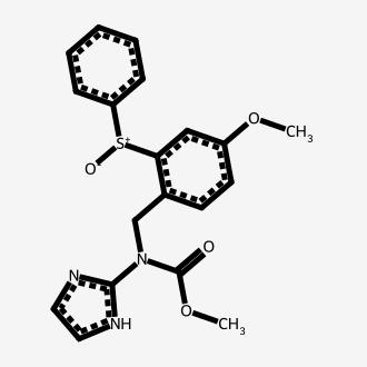 COC(=O)N(Cc1ccc(OC)cc1[S+]([O-])c1ccccc1)c1ncc[nH]1